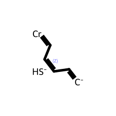 [CH-]=C/C=C\[CH]=[Cr].[SH-]